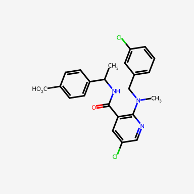 CC(NC(=O)c1cc(Cl)cnc1N(C)Cc1cccc(Cl)c1)c1ccc(C(=O)O)cc1